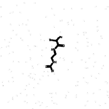 CCC(=O)NCCNC(=O)C(Br)C(C)C